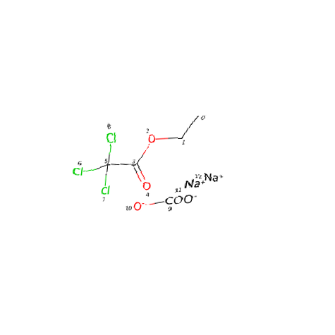 CCOC(=O)C(Cl)(Cl)Cl.O=C([O-])[O-].[Na+].[Na+]